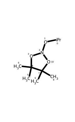 CC(C)ON1OC(C)(C)C(C)(C)O1